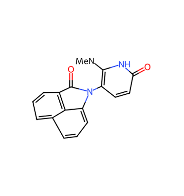 CNc1[nH]c(=O)ccc1N1C(=O)c2cccc3cccc1c23